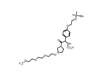 CC(C)(C)[Si](C)(C)OCCOc1ccc(C(NC(=O)O)C(=O)N2CC[C@H](OCCOCCOCCOC(F)(F)F)C2)cc1